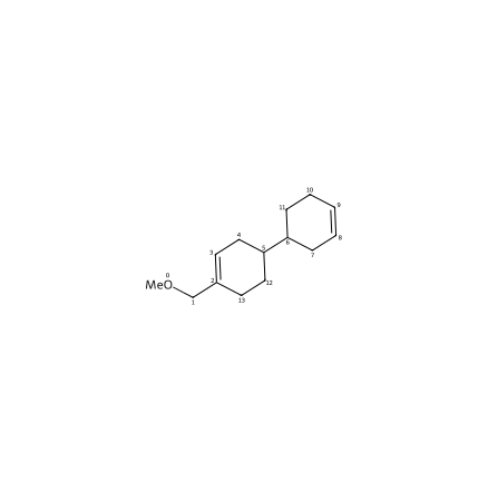 COCC1=CCC(C2CC=CCC2)CC1